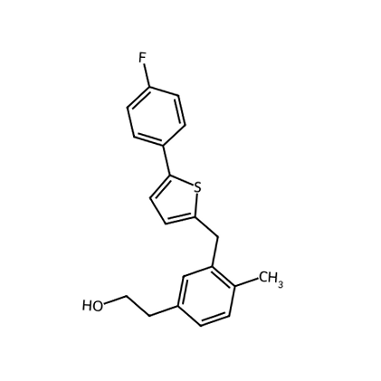 Cc1ccc(CCO)cc1Cc1ccc(-c2ccc(F)cc2)s1